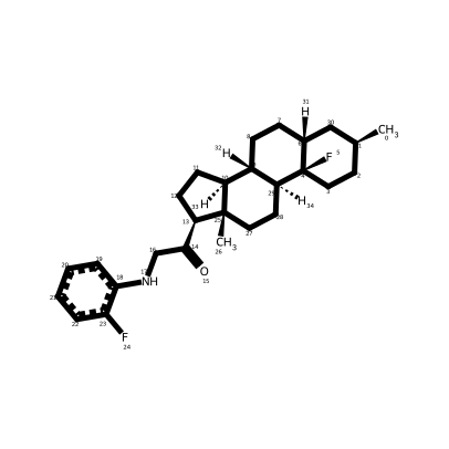 C[C@H]1CC[C@@]2(F)[C@H](CC[C@H]3[C@@H]4CC[C@H](C(=O)CNc5ccccc5F)[C@@]4(C)CC[C@@H]32)C1